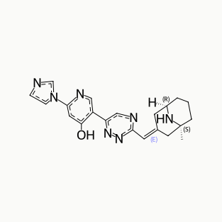 C[C@]12CCC[C@H](C/C(=C\c3ncc(-c4cnc(-n5ccnc5)cc4O)nn3)C1)N2